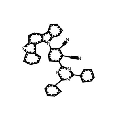 N#Cc1c(-c2nc(-c3ccccc3)nc(-c3ccccc3)n2)ccc(-n2c3ccccc3c3ccc4sc5ccccc5c4c32)c1C#N